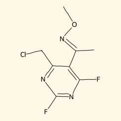 CON=C(C)c1c(F)nc(F)nc1CCl